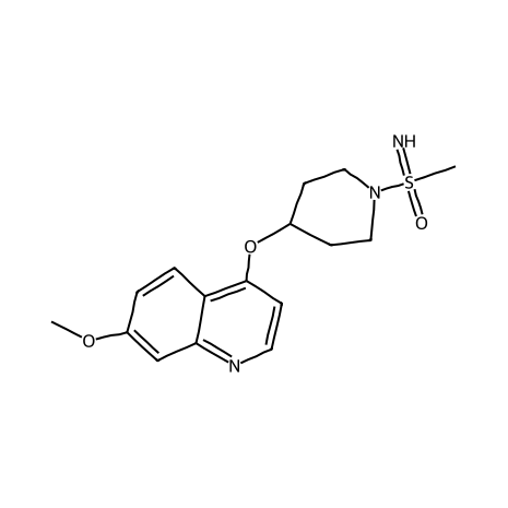 COc1ccc2c(OC3CCN(S(C)(=N)=O)CC3)ccnc2c1